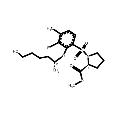 COC(=O)[C@@H]1CCCN1S(=O)(=O)c1ccc(C)c(F)c1O[C@H](C)CCCCO